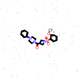 O=C(C1CN(S(=O)(=O)c2ccccc2OC(F)(F)F)C1)N1CCN(c2ccccc2)CC1